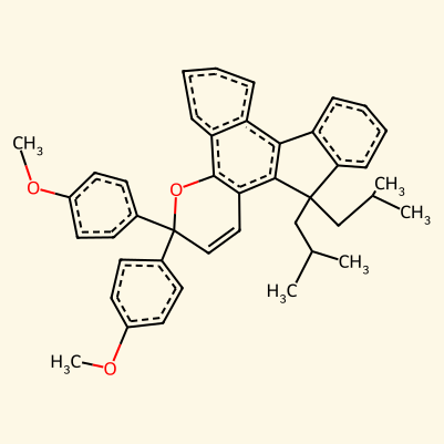 COc1ccc(C2(c3ccc(OC)cc3)C=Cc3c4c(c5ccccc5c3O2)-c2ccccc2C4(CC(C)C)CC(C)C)cc1